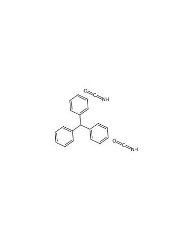 N=C=O.N=C=O.c1ccc(C(c2ccccc2)c2ccccc2)cc1